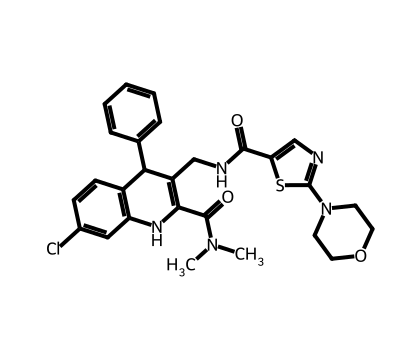 CN(C)C(=O)C1=C(CNC(=O)c2cnc(N3CCOCC3)s2)C(c2ccccc2)c2ccc(Cl)cc2N1